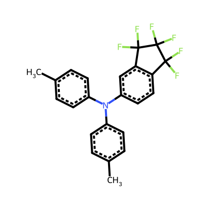 Cc1ccc(N(c2ccc(C)cc2)c2ccc3c(c2)C(F)(F)C(F)(F)C3(F)F)cc1